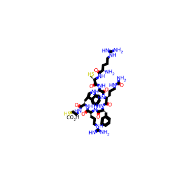 N=C(N)NCCC[C@H](NC(=O)[C@@H](Cc1ccccc1)NC(=O)[C@H](CCCNC(N)=O)NC(=O)CNC(=O)[C@H](CS)NC(=O)[C@@H](N)CCCNC(=N)N)C(=O)N[C@@H](Cc1c[nH]c2ccccc12)C(=O)N[C@@H](CS)C(=O)O